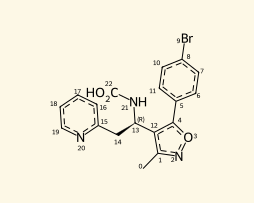 Cc1noc(-c2ccc(Br)cc2)c1[C@@H](Cc1ccccn1)NC(=O)O